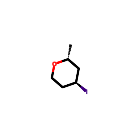 C[C@@H]1C[C@@H](I)CCO1